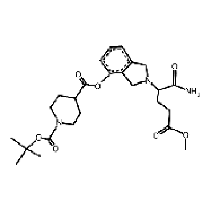 COC(=O)CCC(C(N)=O)N1Cc2cccc(OC(=O)C3CCN(C(=O)OC(C)(C)C)CC3)c2C1